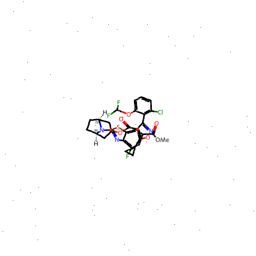 COC(=O)c1cc(F)c2nc(N3[C@@H]4CC[C@H]3CC(OC(=O)c3c(-c5c(Cl)cccc5OC(F)F)noc3C3CC3)C4)sc2c1